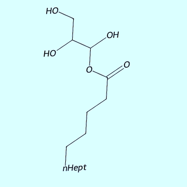 CCCCCCCCCCCC(=O)OC(O)C(O)CO